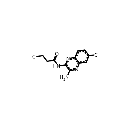 Nc1nc2cc(Cl)ccc2nc1NC(=O)CCCl